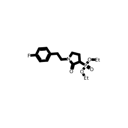 CCOP(=O)(OCC)C1CCN(CCc2ccc(F)cc2)C1=O